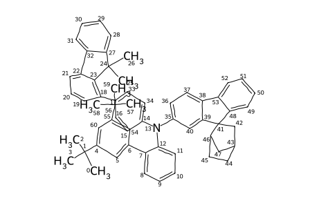 CC(C)(C)c1cc(-c2ccccc2N(c2ccc(-c3cccc4c3C(C)(C)c3ccccc3-4)cc2)c2ccc3c(c2)C2(CC4CCC2C4)c2ccccc2-3)cc(C(C)(C)C)c1